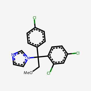 COCC(c1ccc(Cl)cc1)(c1ccc(Cl)cc1Cl)n1ccnc1